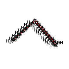 Cc1ccccc1.Cc1ccccc1.Cc1ccccc1.Cc1ccccc1.Cc1ccccc1.Cc1ccccc1.Cc1ccccc1.Cc1ccccc1.Cc1ccccc1.Cc1ccccc1.Cc1ccccc1.Cc1ccccc1.Cc1ccccc1.Cc1ccccc1.Cc1ccccc1.Cc1ccccc1.Cc1ccccc1.Cc1ccccc1.Cc1ccccc1.OCCc1ccccc1